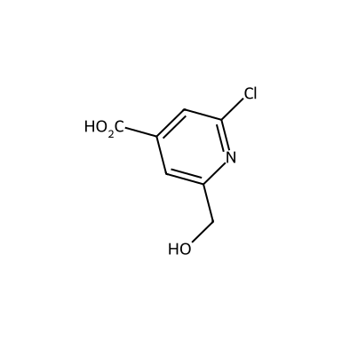 O=C(O)c1cc(Cl)nc(CO)c1